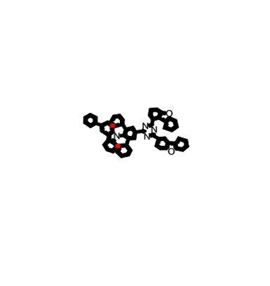 c1ccc(-c2ccc3c(c2)c2ccccc2n3-c2c(-c3ccccc3)cc(-c3nc(-c4ccc5oc6ccccc6c5c4)nc(-c4cccc5oc6ccccc6c45)n3)cc2-c2ccccc2)cc1